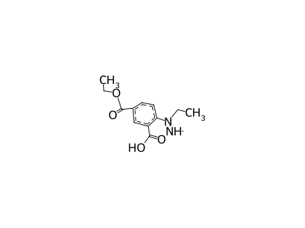 CCOC(=O)c1ccc(N([NH])CC)c(C(=O)O)c1